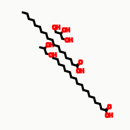 CC(O)CO.CCCCCCCCCCCCCCCCCC(=O)O.CCCCCCCCCCCCCCCCCC(=O)O.OCC(O)CO